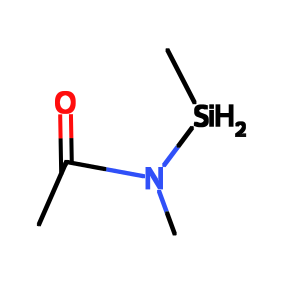 C[SiH2]N(C)C(C)=O